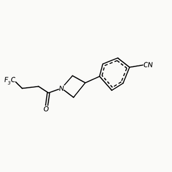 N#Cc1ccc(C2CN(C(=O)CCC(F)(F)F)C2)cc1